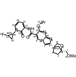 COC[C@@]12CC[C@@](c3cn4cc(C(=O)Nc5cccn([C@H]6C[C@H]6F)c5=O)c(OC(C)C)nc4n3)(CO1)C2